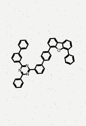 c1ccc(-c2cccc(-c3nc(-c4ccccc4)nc(-c4cccc(-c5ccc(-c6cccc7c6oc6c(-c8ccccc8)cccc67)cc5)c4)n3)c2)cc1